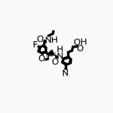 CCCNC(=O)c1cc2c(cc1F)OCC[C@]21C[C@H]1C(=O)Nc1cc(C#N)ccc1CCCC(=O)O